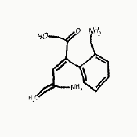 C=C(N)/C=C(/C(=O)O)c1ccccc1N